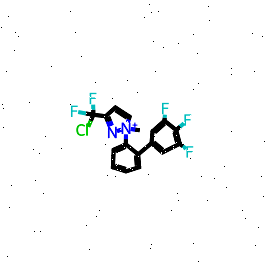 C[N+]1(c2ccccc2-c2cc(F)c(F)c(F)c2)C=CC(C(F)(F)Cl)=N1